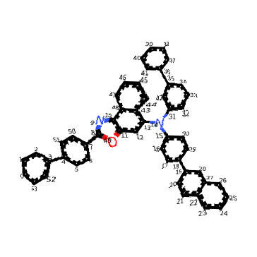 c1ccc(-c2ccc(-c3nc4c(cc(N(c5ccc(-c6ccc7ccccc7c6)cc5)c5cccc(-c6ccccc6)c5)c5ccccc54)o3)cc2)cc1